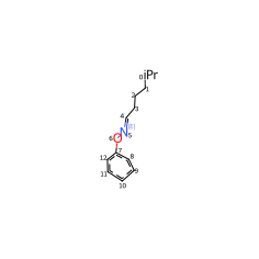 CC(C)CCC/C=N/Oc1ccccc1